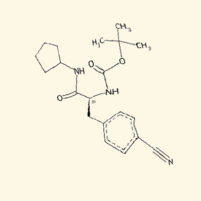 CC(C)(C)OC(=O)N[C@@H](Cc1ccc(C#N)cc1)C(=O)NC1CCCC1